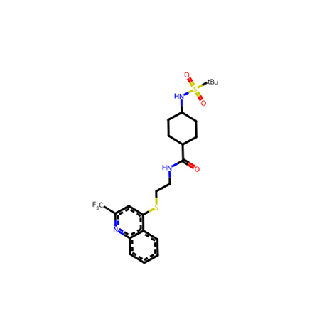 CC(C)(C)S(=O)(=O)NC1CCC(C(=O)NCCSc2cc(C(F)(F)F)nc3ccccc23)CC1